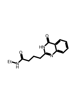 CCNC(=O)CCCc1nc2ccccc2c(=O)[nH]1